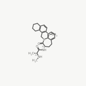 CN[C@@H](C)C(=O)N[C@H]1CCc2ccccc2N(Cc2c(OC)ccc3c2CCCC3)C1=O